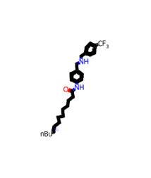 CCCC/C=C/CCCCCCCC(=O)Nc1ccc(CNCc2ccc(C(F)(F)F)cc2)cc1